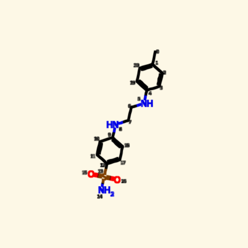 Cc1ccc(NCCNc2ccc(S(N)(=O)=O)cc2)cc1